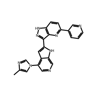 Cc1cn(-c2cncc3[nH]c(-c4n[nH]c5ccc(-c6cccnc6)nc45)cc23)cn1